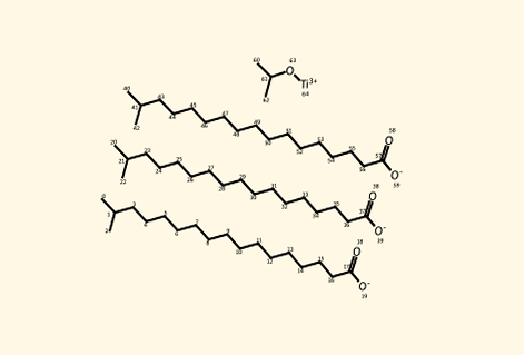 CC(C)CCCCCCCCCCCCCCC(=O)[O-].CC(C)CCCCCCCCCCCCCCC(=O)[O-].CC(C)CCCCCCCCCCCCCCC(=O)[O-].CC(C)[O][Ti+3]